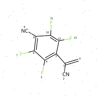 C=C(C#N)c1c(F)c(F)c(C#N)c(F)c1F